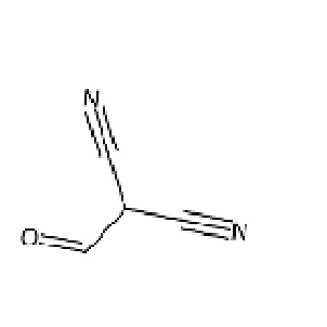 N#CC(C#N)C=O